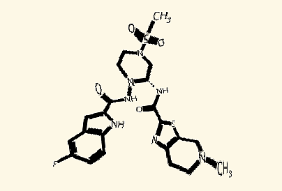 CN1CCc2nc(C(=O)N[C@H]3CN(S(C)(=O)=O)CCN3NC(=O)c3cc4cc(F)ccc4[nH]3)sc2C1